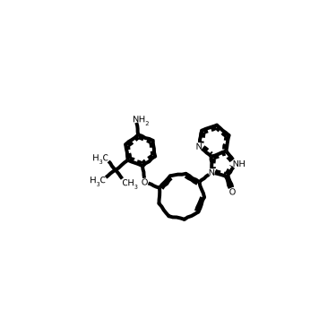 CC(C)(C)c1cc(N)ccc1O/C1=C/C=C(n2c(=O)[nH]c3cccnc32)\C=C/CCC1